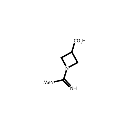 CNC(=N)N1CC(C(=O)O)C1